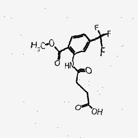 COC(=O)c1ccc(C(F)(F)F)cc1NC(=O)CCC(=O)O